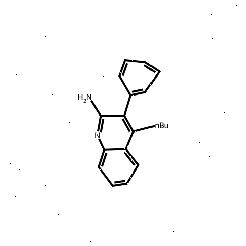 CCCCc1c(-c2ccccc2)c(N)nc2ccccc12